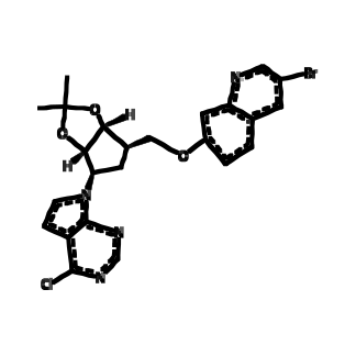 CC1(C)O[C@@H]2[C@@H](COc3ccc4cc(Br)cnc4c3)C[C@@H](n3ccc4c(Cl)ncnc43)[C@@H]2O1